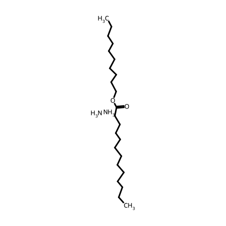 CCCCCCCCCCCCC(=O)OCCCCCCCCCC.N.N